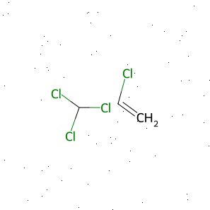 C=CCl.ClC(Cl)Cl